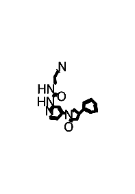 N#CCCNC(=O)Nc1cc(N2CC(c3ccccc3)CC2=O)ccn1